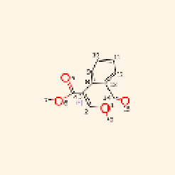 CO/C=C(/C(=O)OC)c1ccccc1C=O